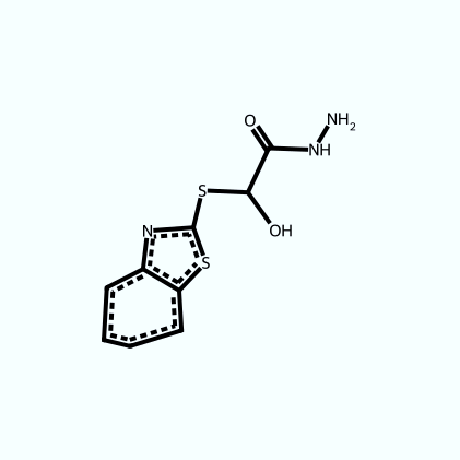 NNC(=O)C(O)Sc1nc2ccccc2s1